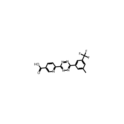 Cc1cc(-c2nnc(-c3ccc(C(=O)O)cn3)nn2)cc(C(F)(F)F)c1